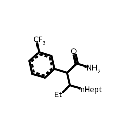 CCCCCCCC(CC)C(C(N)=O)c1cccc(C(F)(F)F)c1